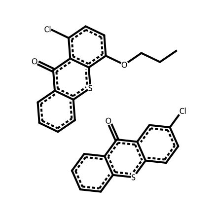 CCCOc1ccc(Cl)c2c(=O)c3ccccc3sc12.O=c1c2ccccc2sc2ccc(Cl)cc12